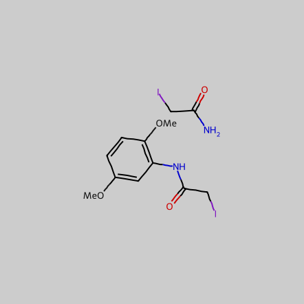 COc1ccc(OC)c(NC(=O)CI)c1.NC(=O)CI